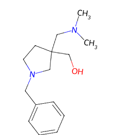 CN(C)CC1(CO)CCN(Cc2ccccc2)C1